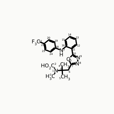 CN(C(=O)O)C(C)(C)Cc1nnc(-c2ccccc2Nc2ccc(C(F)(F)F)cc2)o1